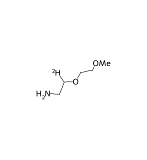 [2H]C(CN)OCCOC